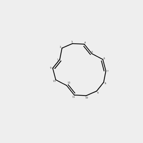 [C]1=C/CC/C=C/C=C\CCC/C=C/C/1